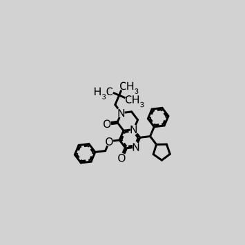 CC(C)(C)CN1CCn2c(C(c3ccccc3)C3CCCC3)nc(=O)c(OCc3ccccc3)c2C1=O